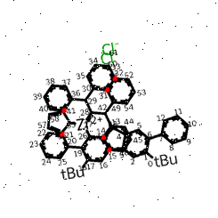 CC(C)(C)c1cc2c(cc1-c1ccccc1)Cc1c-2cc(C(C)(C)C)c(-c2ccccc2)[c]1[Zr+2](=[C](C(c1ccccc1)c1ccccc1)C(c1ccccc1)c1ccccc1)[CH]1C=CC=C1.[Cl-].[Cl-]